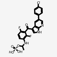 CC(Nc1ccc(F)c(C(=O)c2c[nH]c3ncc(-c4ccc(Cl)cc4)cc23)c1F)OP(=O)(O)O